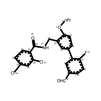 CCCOc1ccc(-c2cc(C=O)ccc2F)cc1CNC(=O)c1ccc(Cl)cc1Cl